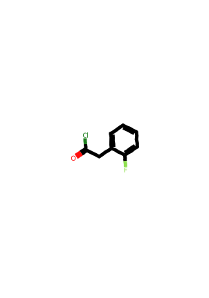 O=C(Cl)Cc1ccccc1F